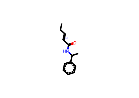 CC/C=C/C(=O)NC(C)c1ccccc1